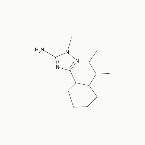 CCC(C)C1CCCCC1c1nc(N)n(C)n1